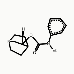 CCN(C(=O)O[C@H]1CN2CCC1CC2)c1ccccc1